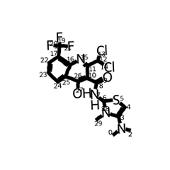 CN(C)C1=CSC(NC(=O)c2c(C(Cl)Cl)nc3c(C(F)(F)F)cccc3c2O)N1C